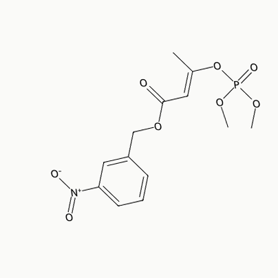 COP(=O)(OC)O/C(C)=C/C(=O)OCc1cccc([N+](=O)[O-])c1